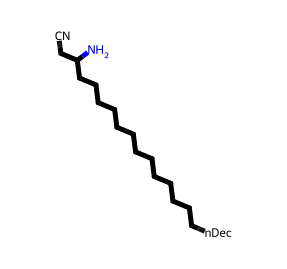 CCCCCCCCCCCCCCCCCCCCCCCC(N)CC#N